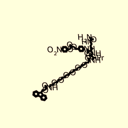 CC(C)C(NC(=O)CCOCCOCCOCCOCCOCCOCCNC(=O)OCC1c2ccccc2-c2ccccc21)C(=O)NC(CCCNC(N)=O)C(=O)Nc1ccc(COC(=O)Oc2ccc([N+](=O)[O-])cc2)cc1